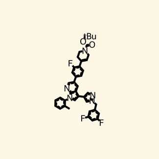 Cc1ccccc1-n1cc(-c2cnn(Cc3cc(F)cc(F)c3)c2)c2cc(-c3ccc(C4=CCN(C(=O)OC(C)(C)C)CC4)c(F)c3)cnc21